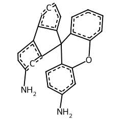 Nc1ccc2c(c1)Oc1ccccc1C21c2ccccc2-c2ccc(N)cc21